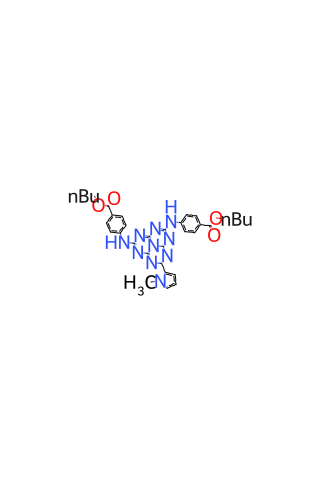 CCCCOC(=O)c1ccc(NC2=NC3=NC(Nc4ccc(C(=O)OCCCC)cc4)=NC4=NC(c5cccn5C)=NC(=N2)N34)cc1